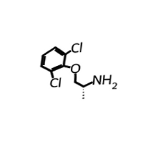 C[C@@H](N)COc1c(Cl)cccc1Cl